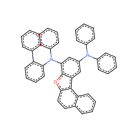 c1ccc(-c2ccccc2N(c2ccccc2)c2cc(N(c3ccccc3)c3ccccc3)cc3c2oc2ccc4ccccc4c23)cc1